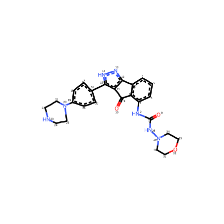 O=C(Nc1cccc2c1C(=O)c1c-2n[nH]c1-c1ccc(N2CCNCC2)cc1)NN1CCOCC1